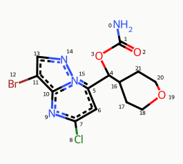 NC(=O)OC(c1cc(Cl)nc2c(Br)cnn12)C1CCOCC1